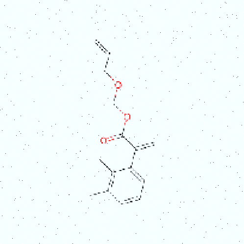 C=CCOCOC(=O)C(=C)c1cccc(C)c1C